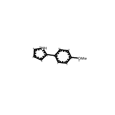 COc1ccc(-c2ccc[nH]2)cc1